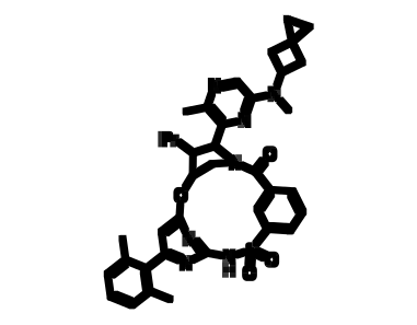 Cc1cccc(C)c1-c1cc2nc(n1)NS(=O)(=O)c1cccc(c1)C(=O)N1CC(O2)C(C(C)C)C1c1nc(N(C)C2CC3(CC3)C2)cnc1C